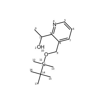 CC(O)c1ncccc1CO[Si](C)(C)C(C)(C)C